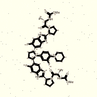 COC(=O)N[C@H](C(=O)N1CCC[C@H]1c1nc2cc([C@H]3CC[C@H](c4cc5nc([C@@H]6CCCN6C(=O)[C@@H](NC(=O)OC)C(C)C)[nH]c5cc4F)N3c3ccc(N4CCCCC4)c(F)c3)c(F)cc2[nH]1)C(C)C